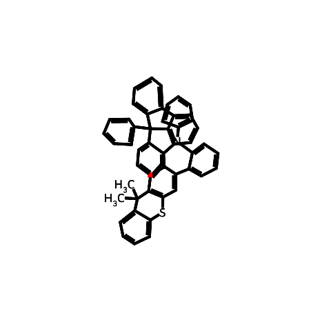 CC1(C)c2ccccc2Sc2cc(-c3ccccc3N(c3ccccc3)c3ccccc3C3(c4ccccc4)c4ccccc4-c4ccccc43)ccc21